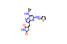 O=C1CC(=Cc2cnn3c(NC4CC4)cc(NCc4cccs4)nc23)C(=O)N1